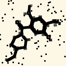 CCN1CCN(C(=O)c2cc(Cl)c(N)cc2OC)CC1